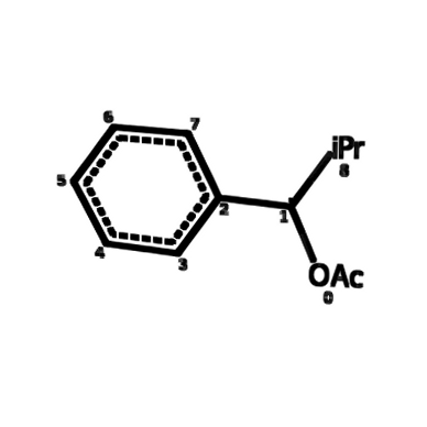 CC(=O)O[C](c1ccccc1)C(C)C